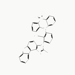 Cc1nc2c3c(ccc2n1-c1cccc(N2c4ccccc4S(=O)(=O)c4ccccc42)c1Cl)sc1ccccc13